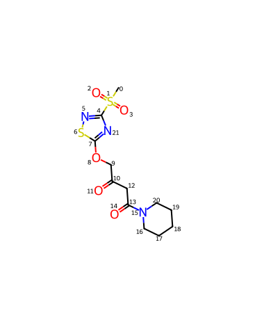 CS(=O)(=O)c1nsc(OCC(=O)CC(=O)N2CCCCC2)n1